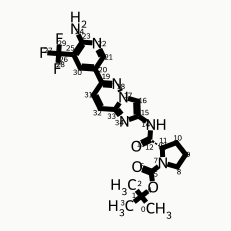 CC(C)(C)OC(=O)N1CCC[C@H]1C(=O)Nc1cn2nc(-c3cnc(N)c(C(F)(F)F)c3)ccc2n1